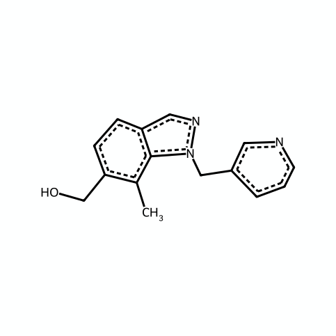 Cc1c(CO)ccc2cnn(Cc3cccnc3)c12